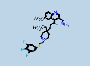 COc1ccc2ncc(CN)c([C@@H](F)CCC3(CC(=O)O)CCN(CCSc4cc(F)c(F)c(F)c4)CC3)c2c1